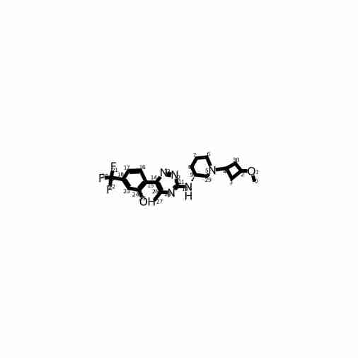 COC1CC(N2CCC[C@@H](Nc3nnc(-c4ccc(C(F)(F)F)cc4O)c(C)n3)C2)C1